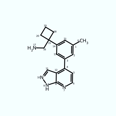 Cc1cc(-c2ccnc3[nH]ncc23)cc(C2(CN)CCC2)c1